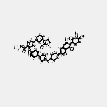 CN1CCN([C@@H]2CCCN(c3cnc(C(N)=O)c(Nc4ccc(C5CCN(CC6CCN(c7ccc8c(=O)n(C9CCC(=O)NC9O)ccc8c7)CC6)CC5)cc4)n3)C2)C1=O